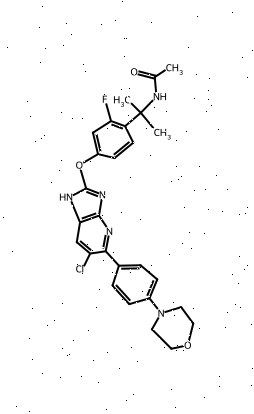 CC(=O)NC(C)(C)c1ccc(Oc2nc3nc(-c4ccc(N5CCOCC5)cc4)c(Cl)cc3[nH]2)cc1F